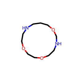 C1CNCCOCCOCCNCOC1